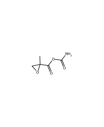 CC1(C(=O)OC(N)=O)CO1